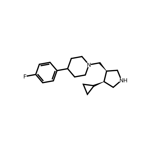 Fc1ccc(C2CCN(C[C@H]3CNC[C@H]3C3CC3)CC2)cc1